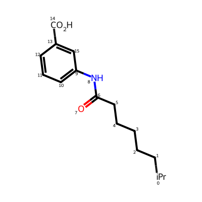 CC(C)CCCCCC(=O)Nc1cccc(C(=O)O)c1